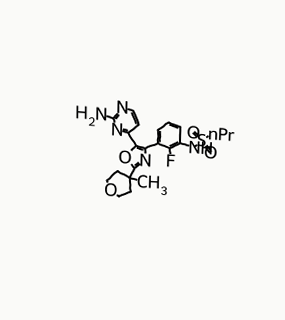 CCCS(=O)(=O)Nc1cccc(-c2nc(C3(C)CCOCC3)oc2-c2ccnc(N)n2)c1F